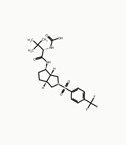 CC(C)(C)[C@H](NC(=O)O)C(=O)N[C@@H]1CC[C@H]2CN(S(=O)(=O)c3ccc(C(F)(F)F)cc3)C[C@H]21